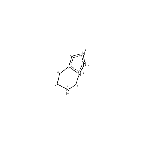 c1nnn2c1CCNC2